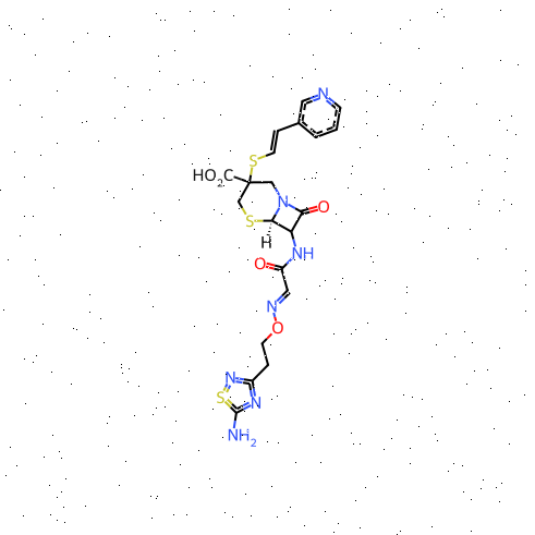 Nc1nc(CCON=CC(=O)NC2C(=O)N3CC(SC=Cc4cccnc4)(C(=O)O)CS[C@H]23)ns1